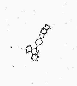 O=C(c1cccnc1-c1ccncn1)N1CCC(F)(Cc2ccn3ccnc3c2)CC1